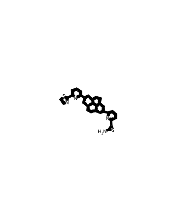 NC1SC1c1cccc(-c2cc3ccc4cc(-c5cccc(-c6nccs6)n5)cc5ccc(c2)c3c45)n1